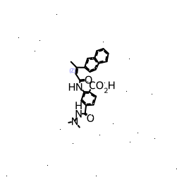 C/C(=C/C(=O)Nc1cc(C(=O)NN(C)C)ccc1C(=O)O)c1ccc2ccccc2c1